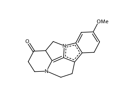 COC1=CCc2c3c4n(c2=C1)CC1C(=O)CCN(CC3)C=41